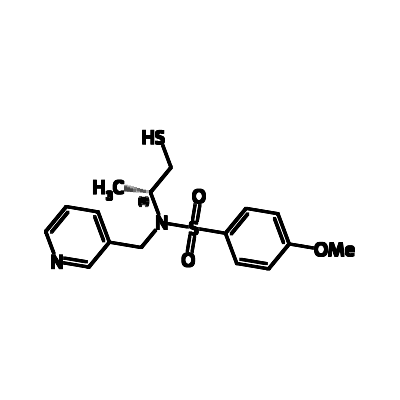 COc1ccc(S(=O)(=O)N(Cc2cccnc2)[C@H](C)CS)cc1